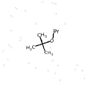 [CH2]C(C)OC(C)(C)C